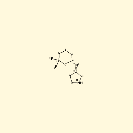 FC1(F)CCC[C@H](/N=C2\CCNC2)C1